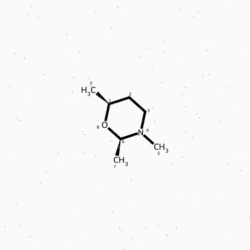 C[C@H]1CCN(C)[C@@H](C)O1